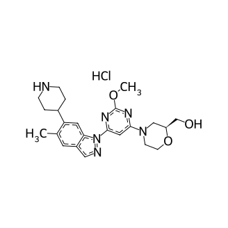 COc1nc(N2CCO[C@H](CO)C2)cc(-n2ncc3cc(C)c(C4CCNCC4)cc32)n1.Cl